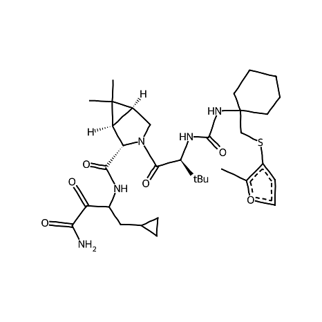 Cc1occc1SCC1(NC(=O)N[C@H](C(=O)N2C[C@H]3[C@@H]([C@H]2C(=O)NC(CC2CC2)C(=O)C(N)=O)C3(C)C)C(C)(C)C)CCCCC1